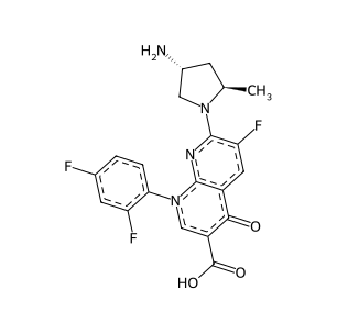 C[C@@H]1C[C@@H](N)CN1c1nc2c(cc1F)c(=O)c(C(=O)O)cn2-c1ccc(F)cc1F